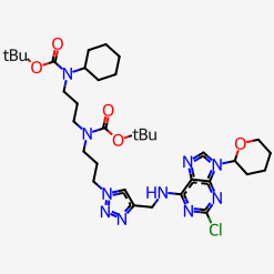 CC(C)(C)OC(=O)N(CCCN(C(=O)OC(C)(C)C)C1CCCCC1)CCCn1cc(CNc2nc(Cl)nc3c2ncn3C2CCCCO2)nn1